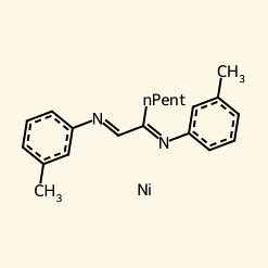 CCCCCC(/C=N/c1cccc(C)c1)=N\c1cccc(C)c1.[Ni]